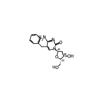 Nc1nc(=O)n([C@H]2C[C@@H](O)[C@H](CO)O2)cc1Cc1ccccc1